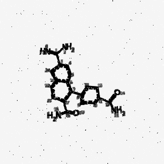 N=C(N)c1ccc2c(-c3ccc(C(N)=O)cc3)c(C(N)=O)ccc2c1